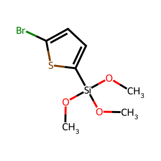 CO[Si](OC)(OC)c1ccc(Br)s1